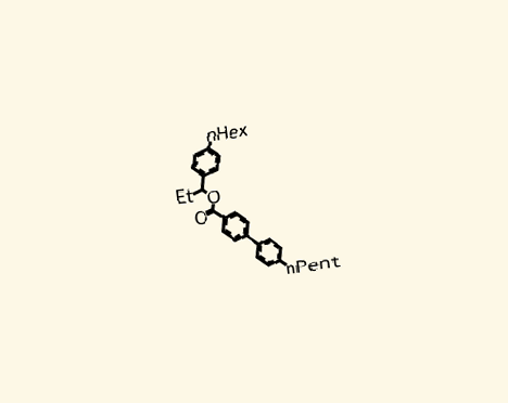 CCCCCCc1ccc(C(CC)OC(=O)c2ccc(-c3ccc(CCCCC)cc3)cc2)cc1